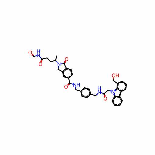 CC(CCC(=O)NC=O)N1Cc2cc(C(=O)NCc3ccc(CNC(=O)Cn4c5ccccc5c5cccc(CO)c54)cc3)ccc2C1=O